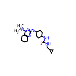 CN(C)c1nc(NC2CCC(NC(=S)NCC3CC3)CC2)nc2c1CCCC2